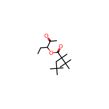 CCC(OC(=O)C(C)(CC(C)(C)C)C(C)(C)C)C(C)=O